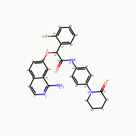 Nc1nccc2ccc(OC(C(=O)Nc3ccc(N4CCCCC4=O)cc3)c3ccccc3F)cc12